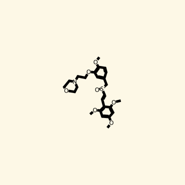 COc1cc(OC)c(/C=C/[S+]([O-])Cc2ccc(OC)c(OCCN3CCOCC3)c2)c(OC)c1